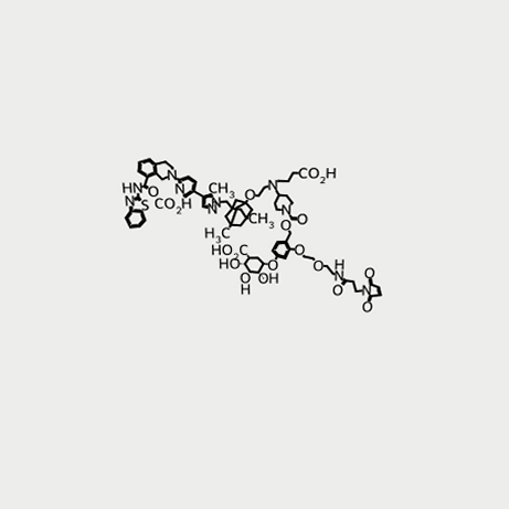 Cc1c(-c2ccc(N3CCc4cccc(C(=O)Nc5nc6ccccc6s5)c4C3)nc2C(=O)O)cnn1CC12CC3(C)CC(C)(C1)CC(OCCN(CCCC(=O)O)C1CCN(C(=O)OCc4ccc(O[C@@H]5C[C@H](C(=O)O)[C@@H](O)[C@H](O)[C@H]5O)cc4OCCOCCNC(=O)CCN4C(=O)C=CC4=O)CC1)(C3)C2